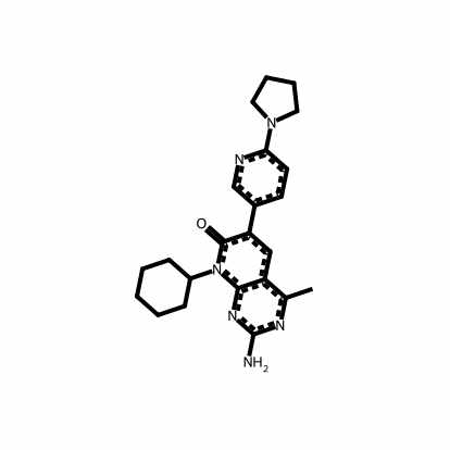 Cc1nc(N)nc2c1cc(-c1ccc(N3CCCC3)nc1)c(=O)n2C1CCCCC1